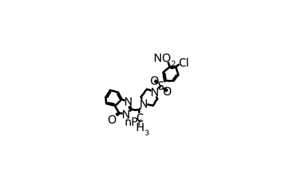 CCCn1c(C(C)N2CCN(S(=O)(=O)c3ccc(Cl)c([N+](=O)[O-])c3)CC2)nc2ccccc2c1=O